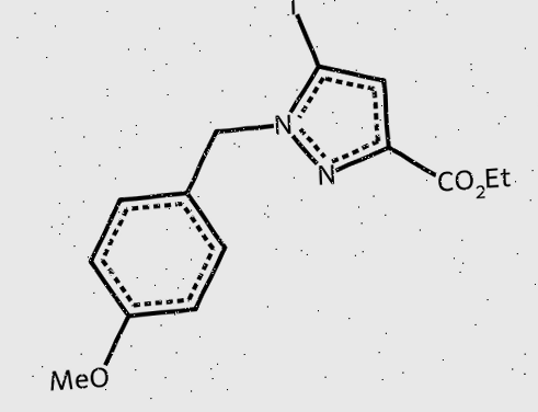 CCOC(=O)c1cc(I)n(Cc2ccc(OC)cc2)n1